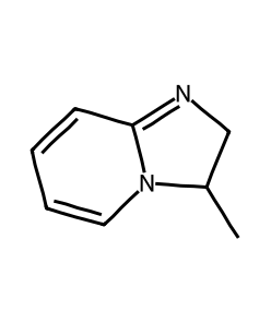 CC1CN=C2C=CC=CN21